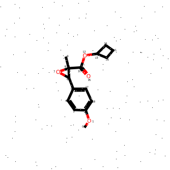 COc1ccc(C2OC2(C)C(=O)OC2CCC2)cc1